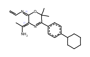 C=C/N=C1/OC(C)(C)C(c2ccc(C3CCCCC3)cc2)=N/C1=C(/C)N